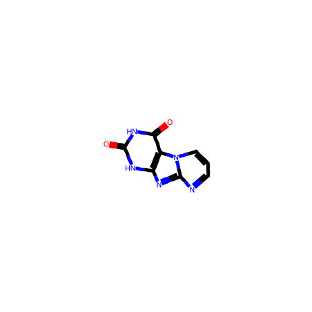 O=c1[nH]c(=O)c2c(nc3ncccn32)[nH]1